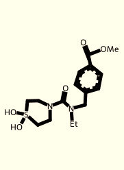 CCN(Cc1ccc(C(=O)OC)cc1)C(=O)N1CCS(O)(O)CC1